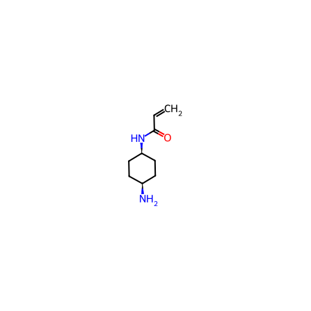 C=CC(=O)N[C@H]1CC[C@@H](N)CC1